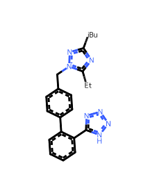 CCc1nc(C(C)CC)nn1Cc1ccc(-c2ccccc2-c2nnn[nH]2)cc1